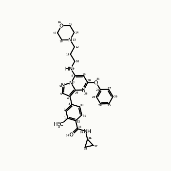 Cc1cc(-c2cnn3c(NCCCN4CCOCC4)cc(Oc4ccccc4)nc23)ccc1C(=O)NC1CC1